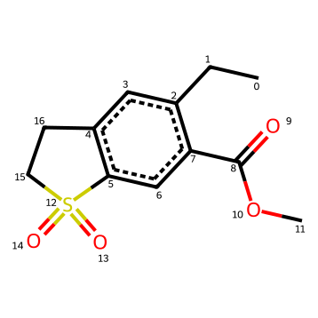 CCc1cc2c(cc1C(=O)OC)S(=O)(=O)CC2